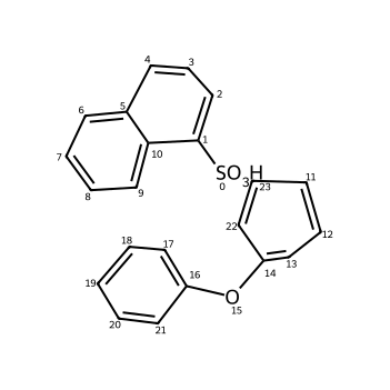 O=S(=O)(O)c1cccc2ccccc12.c1ccc(Oc2ccccc2)cc1